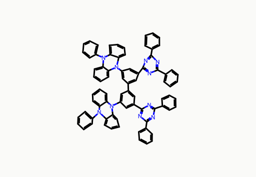 c1ccc(-c2nc(-c3ccccc3)nc(-c3cc(-c4cc(-c5nc(-c6ccccc6)nc(-c6ccccc6)n5)cc(N5c6ccccc6N(c6ccccc6)c6ccccc65)c4)cc(N4c5ccccc5N(c5ccccc5)c5ccccc54)c3)n2)cc1